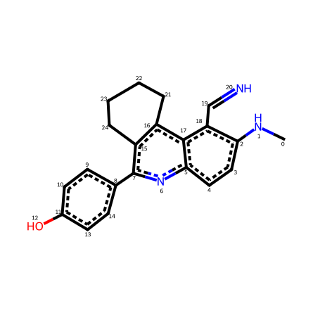 CNc1ccc2nc(-c3ccc(O)cc3)c3c(c2c1C=N)CCCC3